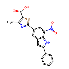 Cc1nc(-c2cc([N+](=O)[O-])c3[nH]c(-c4ccccc4)cc3c2)sc1C(=O)O